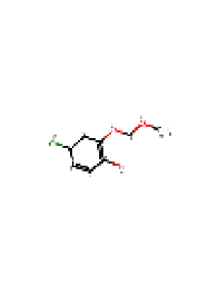 COCOC1=C(Br)C=CC(Cl)C1